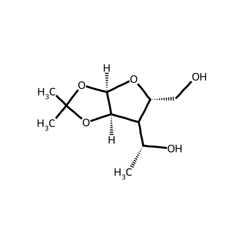 C[C@@H](O)C1[C@H]2OC(C)(C)O[C@H]2O[C@@H]1CO